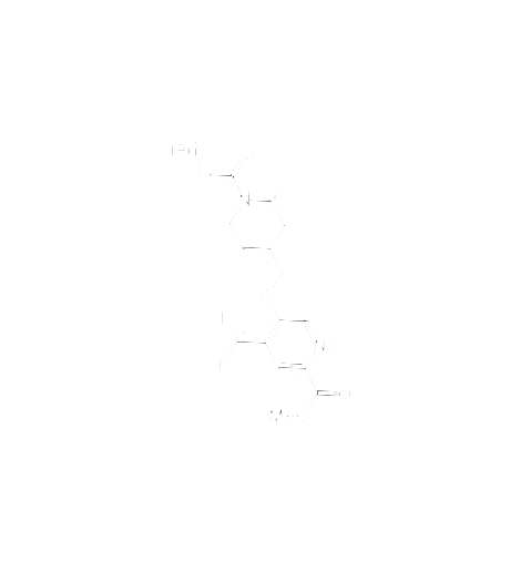 COC(=O)c1cc(C(F)F)c(OCC2CCN(C(=O)OC(C)(C)C)CC2)cn1